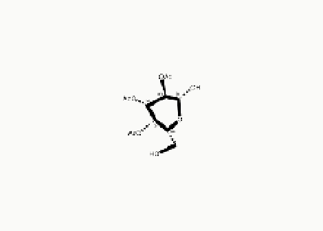 CC(=O)O[C@@H]1[C@@H](OC(C)=O)[C@H](O)O[C@H](CO)[C@@H]1OC(C)=O